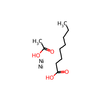 CC(=O)O.CCCCCCCC(=O)O.[Ni].[Ni]